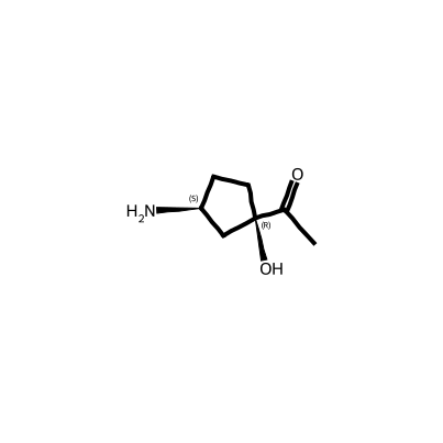 CC(=O)[C@@]1(O)CC[C@H](N)C1